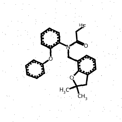 CC1(C)Cc2cccc(CN(C(=O)C[18F])c3ccccc3Oc3ccccc3)c2O1